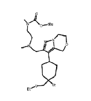 CCOCC1(CC)CCC(c2c(CN(C)CCN(C)C(=O)OC(C)(C)C)nn3c2COCC3)CC1